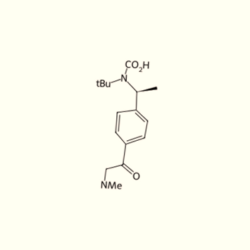 CNCC(=O)c1ccc([C@H](C)N(C(=O)O)C(C)(C)C)cc1